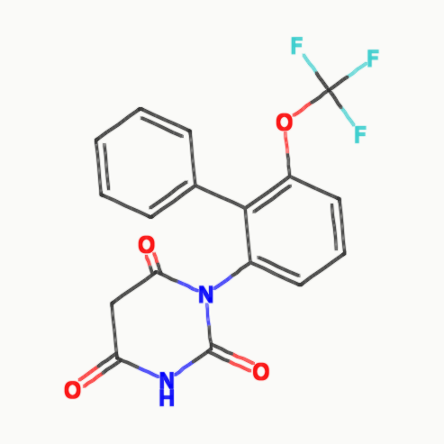 O=C1CC(=O)N(c2cccc(OC(F)(F)F)c2-c2ccccc2)C(=O)N1